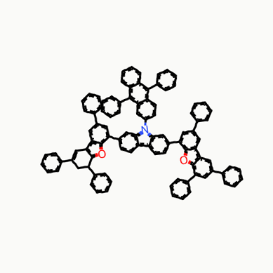 C1=C(c2ccccc2)CC(c2ccccc2)c2oc3c(-c4ccc5c6ccc(-c7cc(-c8ccccc8)cc8c7oc7c(-c9ccccc9)cc(-c9ccccc9)cc78)cc6n(-c6ccc7c(-c8ccccc8)c8ccccc8c(-c8ccccc8)c7c6)c5c4)cc(-c4ccccc4)cc3c21